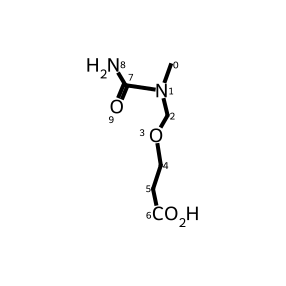 CN(COCCC(=O)O)C(N)=O